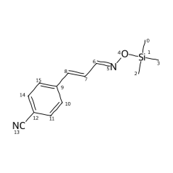 C[Si](C)(C)ON=C/C=C/c1ccc(C#N)cc1